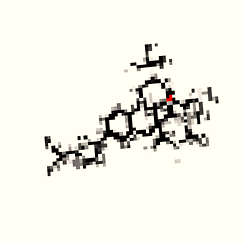 CC(C)C1O[C@H](C(F)(F)F)CN2c3ccc(-c4nnc(C(F)F)o4)cc3CC3(C(=O)NC(=O)NC3=O)[C@@H]12